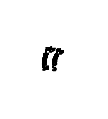 [S]=[Pb].[Se]=[Pb]